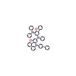 c1ccc(-c2ccc(N(c3ccccc3)c3cc(N(c4ccccc4)c4cc(N(c5ccccc5)c5ccccc5)c5oc6ccccc6c5c4)cc4oc5ccccc5c34)cc2)cc1